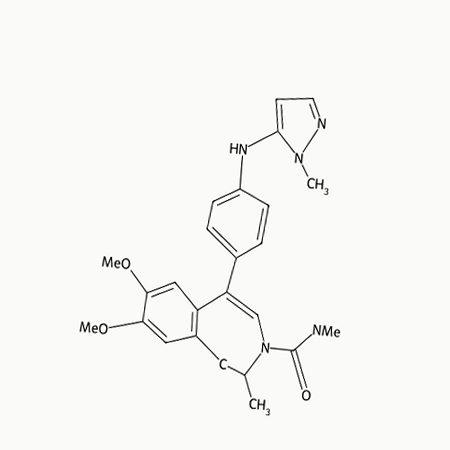 CNC(=O)N1C=C(c2ccc(Nc3ccnn3C)cc2)c2cc(OC)c(OC)cc2CC1C